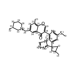 CSc1cc(C2(c3nncn3C)CC(C)C2)cc(-c2coc3c(C)cc(CN4CCC[C@H](C)C4)cc3c2=O)n1